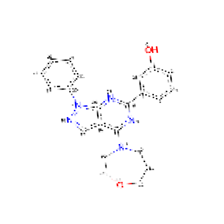 Oc1cccc(-c2nc(N3CCCOCC3)c3cnn(-c4ccccc4)c3n2)c1